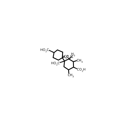 CC1CC(C(=O)O)(C2(C(=O)O)CCC(C(=O)O)CC2)C(C)(C)C(C)C1C(=O)O